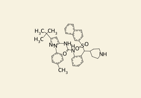 Cc1ccc(-n2nc(C(C)(C)C)cc2NC(=O)Nc2ccccc2C(C2CCNCC2)S(=O)(=O)c2ccc3ccccc3c2)cc1